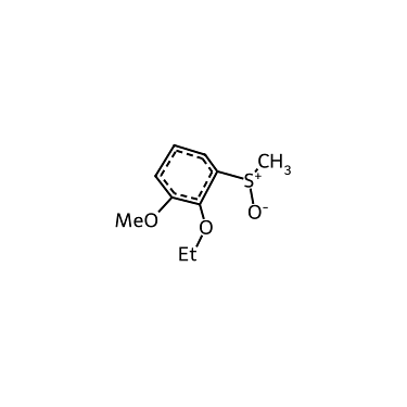 CCOc1c(OC)cccc1[S+](C)[O-]